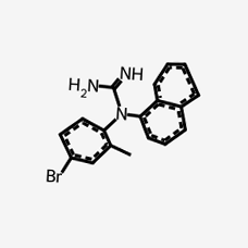 Cc1cc(Br)ccc1N(C(=N)N)c1cccc2ccccc12